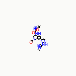 CC(C)n1cc(Nc2nccc(-c3ccc4c(c3)CN(C3COC3)CCC4NC(=O)c3nnc(C(C)(C)C)o3)n2)cn1